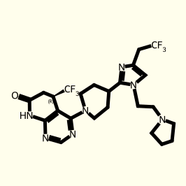 O=C1C[C@@H](C(F)(F)F)c2c(ncnc2N2CCC(c3nc(CC(F)(F)F)cn3CCN3CCCC3)CC2)N1